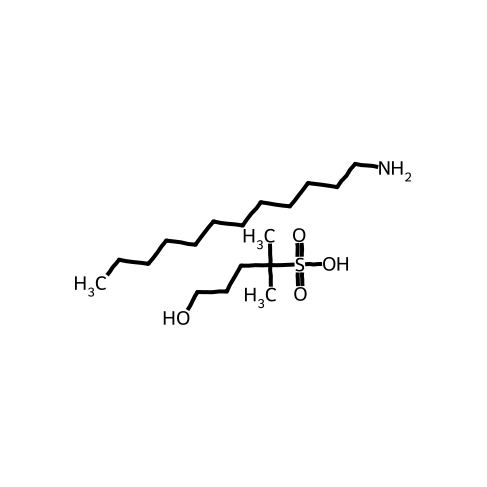 CC(C)(CCCO)S(=O)(=O)O.CCCCCCCCCCCCN